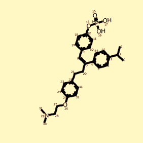 CC(C)c1ccc(/C(=C\c2ccc(OP(=O)(O)O)cc2)CCc2ccc(OCCN(C)C)cc2)cc1